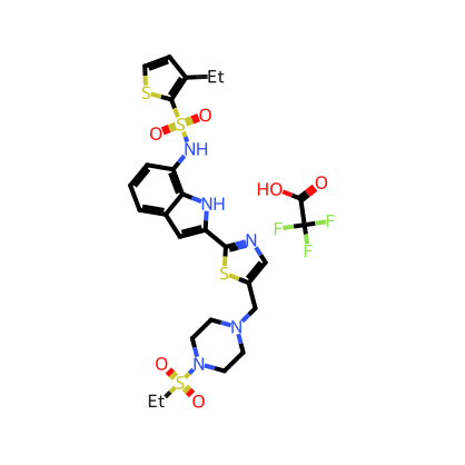 CCc1ccsc1S(=O)(=O)Nc1cccc2cc(-c3ncc(CN4CCN(S(=O)(=O)CC)CC4)s3)[nH]c12.O=C(O)C(F)(F)F